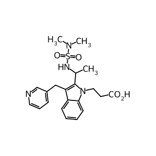 CC(NS(=O)(=O)N(C)C)c1c(Cc2cccnc2)c2ccccc2n1CCC(=O)O